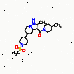 CC1CCN(C(=O)C2C(C)NN3CCC(C4CCN(S(C)(=O)=O)CC4)CC23)CC1